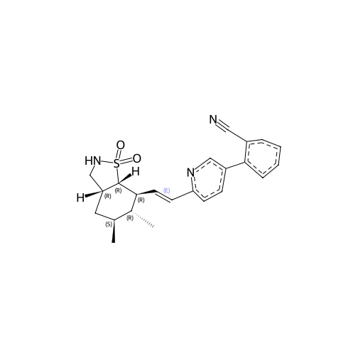 C[C@H]1[C@H](/C=C/c2ccc(-c3ccccc3C#N)cn2)[C@@H]2[C@@H](CNS2(=O)=O)C[C@@H]1C